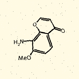 COc1ccc2c(=O)ccoc2c1N